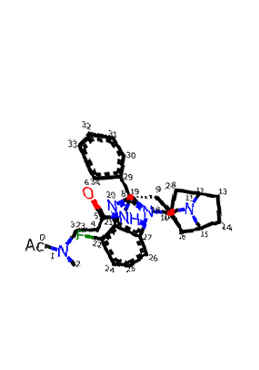 CC(=O)N(C)CCC(=O)N[C@@H](CCN1C2CCC1CC(n1cnc3c(F)cccc31)C2)c1ccccc1